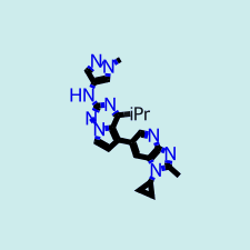 Cc1nc2ncc(-c3ccn4nc(Nc5cnn(C)c5)nc(C(C)C)c34)cc2n1C1CC1